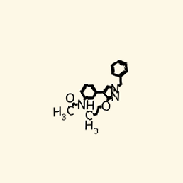 CCCOc1nn(Cc2ccccc2)cc1-c1cccc(NC(C)=O)c1